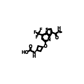 CNC(=O)c1csc2c(C(F)(F)F)cc(O[C@H]3C[C@@H](NC(=O)O)C3)nc12